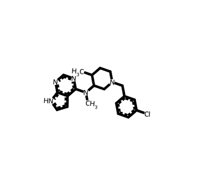 CC1CCN(Cc2cccc(Cl)c2)CC1N(C)c1ncnc2[nH]ccc12